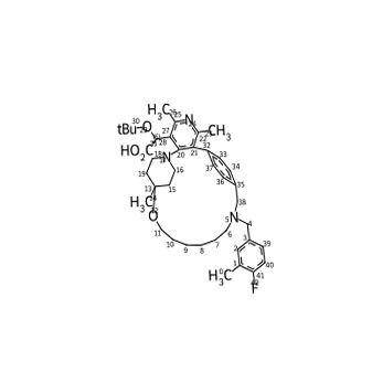 Cc1cc(CN2CCCCCCOC3(C)CCN(CC3)c3c(c(C)nc(C)c3[C@H](OC(C)(C)C)C(=O)O)-c3ccc(cc3)C2)ccc1F